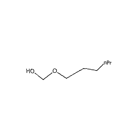 CCCCCCOCO